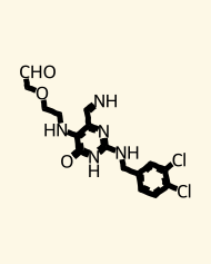 N=Cc1nc(NCc2ccc(Cl)c(Cl)c2)[nH]c(=O)c1NCCOCC=O